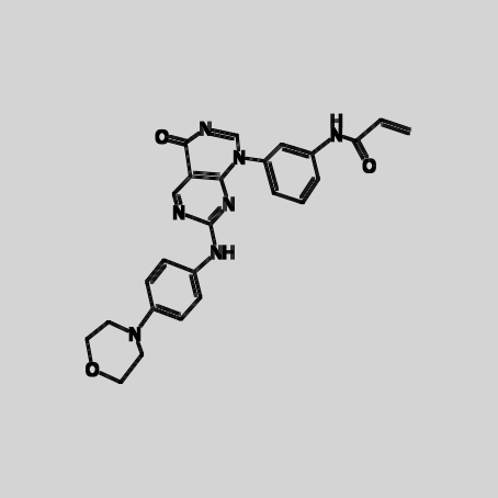 C=CC(=O)Nc1cccc(-n2cnc(=O)c3cnc(Nc4ccc(N5CCOCC5)cc4)nc32)c1